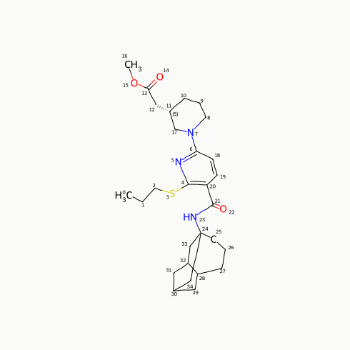 CCCSc1nc(N2CCC[C@@H](CC(=O)OC)C2)ccc1C(=O)NC12CCCC3CC(CC3C1)C2